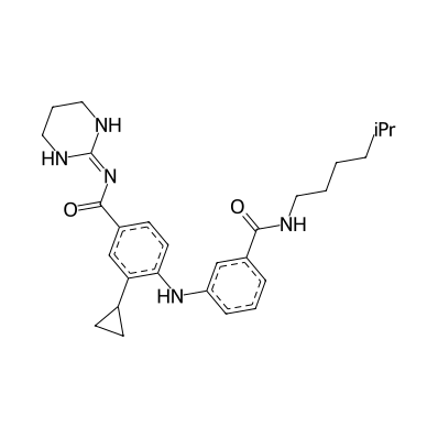 CC(C)CCCCNC(=O)c1cccc(Nc2ccc(C(=O)N=C3NCCCN3)cc2C2CC2)c1